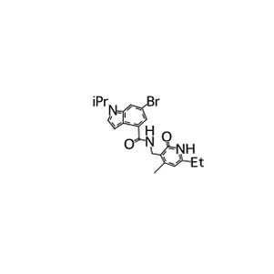 CCc1cc(C)c(CNC(=O)c2cc(Br)cc3c2ccn3C(C)C)c(=O)[nH]1